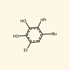 CCCCc1cc(CC)c(O)c(O)c1CCC